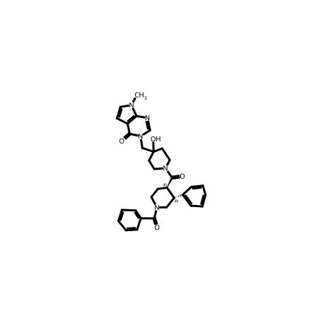 Cn1ccc2c(=O)n(CC3(O)CCN(C(=O)[C@@H]4CCN(C(=O)c5ccccc5)C[C@H]4c4ccccc4)CC3)cnc21